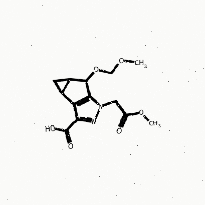 COCOC1c2c(c(C(=O)O)nn2CC(=O)OC)C2CC21